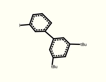 CC(C)(C)c1cc(-c2cccc(I)c2)cc(C(C)(C)C)c1